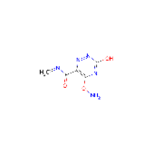 C=NC(=O)c1nnc(O)nc1ON